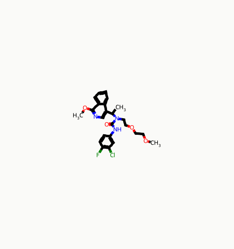 COCCOCCN(C(=O)Nc1ccc(F)c(Cl)c1)C(C)c1cnc(OC)c2ccccc12